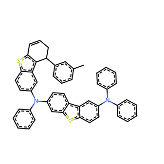 Cc1cccc(C2CC=Cc3sc4ccc(N(c5ccccc5)c5ccc6c(c5)sc5ccc(N(c7ccccc7)c7ccccc7)cc56)cc4c32)c1